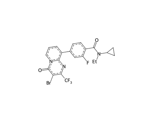 CCN(C(=O)c1ccc(-c2cccn3c(=O)c(Br)c(C(F)(F)F)nc23)cc1F)C1CC1